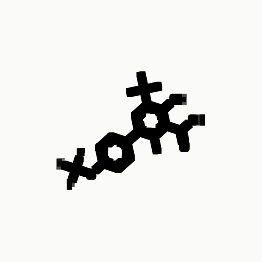 Cc1c(-c2ccc(OC(F)(F)F)cc2)cc(C(C)(C)C)c(O)c1C(=O)O